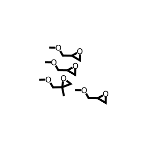 COCC1(C)CO1.COCC1CO1.COCC1CO1.COCC1CO1